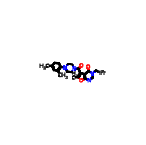 Cc1ccc(N2CCN(C(=O)c3c(C)oc4ncn(CC(C)C)c(=O)c34)CC2)c(C)c1